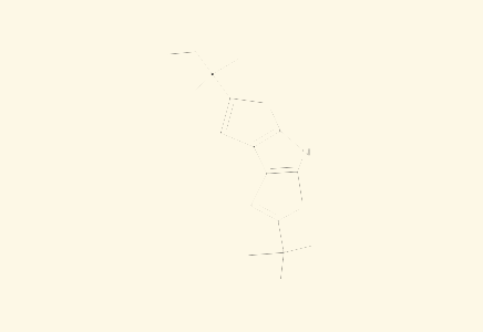 CCC(C)(C)c1cc2c([nH]c3sc(C(C)(C)C)cc32)s1